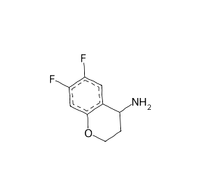 NC1CCOc2cc(F)c(F)cc21